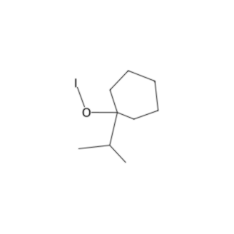 CC(C)C1(OI)CCCCC1